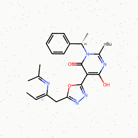 C/C=C(/Cc1nnc(-c2c(O)nc(CCCC)n([C@@H](C)c3ccccc3)c2=O)o1)N=C(C)C